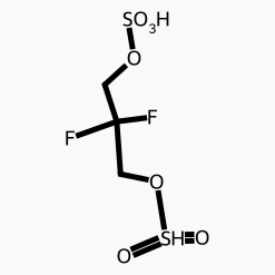 O=[SH](=O)OCC(F)(F)COS(=O)(=O)O